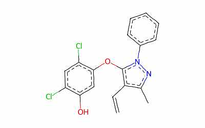 C=Cc1c(C)nn(-c2ccccc2)c1Oc1cc(O)c(Cl)cc1Cl